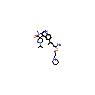 C=N/C(=C\C=C(/C)c1ccc2ncc3c(c2c1)C1(CCN(C(C)C)CC1)C(=O)N3C)OCCCN1CCCCC1